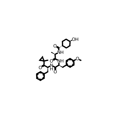 COc1ccc(C[C@H](NC(=O)[C@@H](C)NC(=O)[C@H]2CC[C@H](O)CC2)C(=O)N[C@@H](Cc2ccccc2)C(=O)C2(C)CC2)cc1